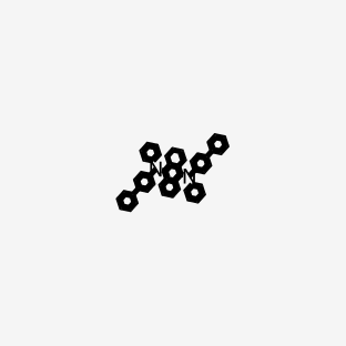 C1=Cc2c(c(N(c3ccccc3)c3ccc(-c4ccccc4)cc3)c3ccccc3c2N(c2ccccc2)c2ccc(-c3ccccc3)cc2)CC1